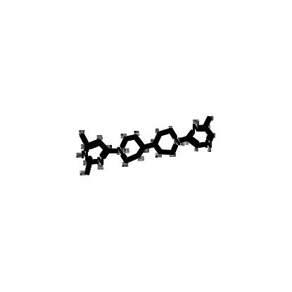 Cc1cncc(N2CCC(C3CCN(c4cc(C)nc(C)n4)CC3)CC2)n1